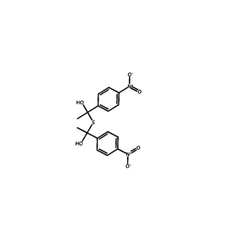 CC(O)(SC(C)(O)c1ccc([N+](=O)[O-])cc1)c1ccc([N+](=O)[O-])cc1